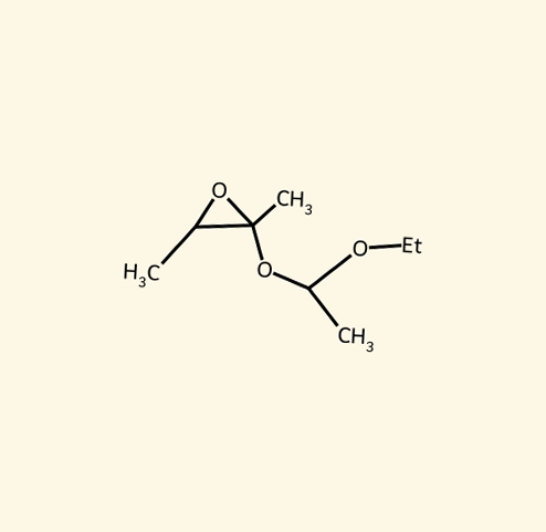 CCOC(C)OC1(C)OC1C